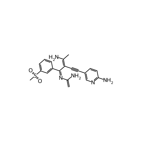 C=C(N)/N=C(\C(C#Cc1ccc(N)nc1)=C(\C)N)c1cccc(S(C)(=O)=O)c1